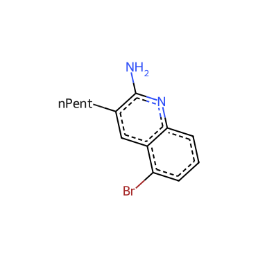 CCCCCc1cc2c(Br)cccc2nc1N